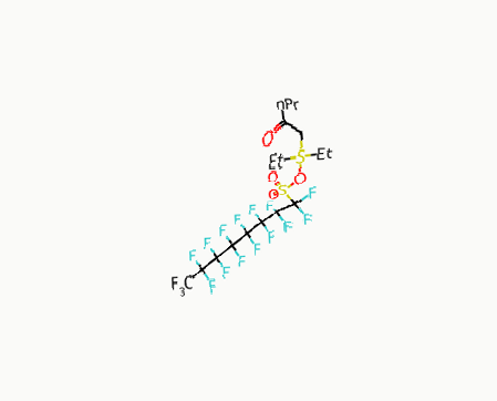 CCCC(=O)CS(CC)(CC)OS(=O)(=O)C(F)(F)C(F)(F)C(F)(F)C(F)(F)C(F)(F)C(F)(F)C(F)(F)C(F)(F)F